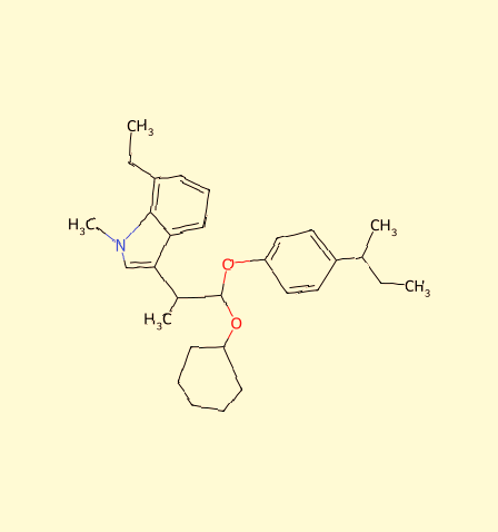 CCc1cccc2c(C(C)C(Oc3ccc(C(C)CC)cc3)OC3CCCCC3)cn(C)c12